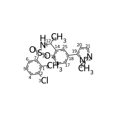 Cc1c(Cl)cccc1S(=O)(=O)NC(C)c1cccc(-c2ccnn2C)c1